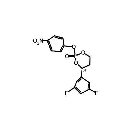 O=[N+]([O-])c1ccc(OP2(=O)OCC[C@@H](c3cc(F)cc(F)c3)O2)cc1